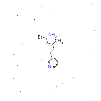 CCC(N)CC(C)CCc1cccnc1